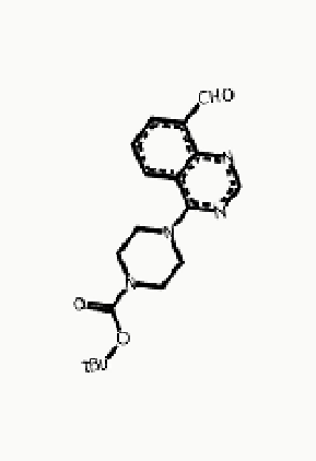 CC(C)(C)OC(=O)N1CCN(c2ncnc3c(C=O)cccc23)CC1